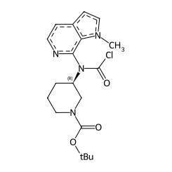 Cn1ccc2ccnc(N(C(=O)Cl)[C@@H]3CCCN(C(=O)OC(C)(C)C)C3)c21